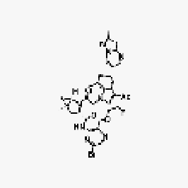 CC(=O)c1cn(CC(=O)N2[C@H](C(=O)Nc3nc(Br)cnc3COCCF)C[C@@]3(C)C[C@@H]23)c2c(C)cc(-c3cnc4cc(C)nn4c3)cc12